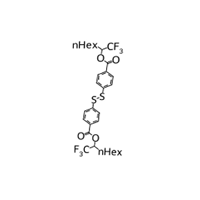 CCCCCCC(OC(=O)c1ccc(SSc2ccc(C(=O)OC(CCCCCC)C(F)(F)F)cc2)cc1)C(F)(F)F